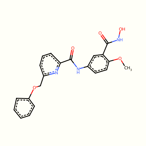 COc1ccc(NC(=O)c2cccc(COc3ccccc3)n2)cc1C(=O)NO